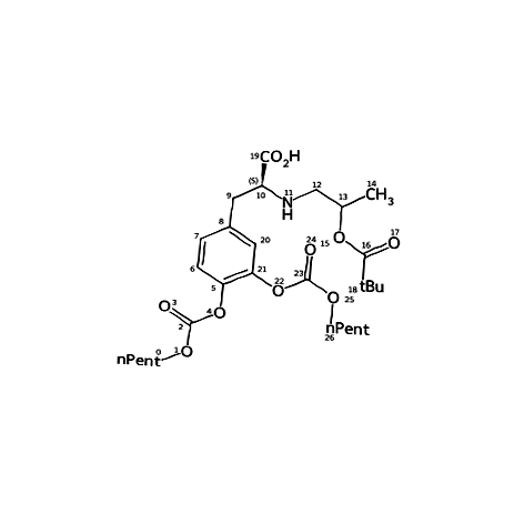 CCCCCOC(=O)Oc1ccc(C[C@H](NCC(C)OC(=O)C(C)(C)C)C(=O)O)cc1OC(=O)OCCCCC